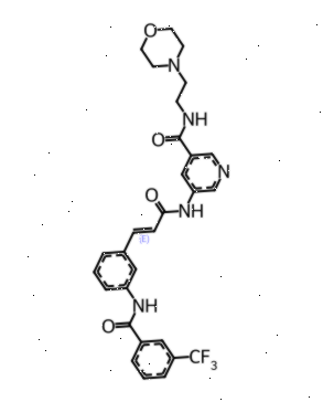 O=C(/C=C/c1cccc(NC(=O)c2cccc(C(F)(F)F)c2)c1)Nc1cncc(C(=O)NCCN2CCOCC2)c1